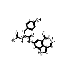 O=C(O)N[C@H](Cc1ccc(O)cc1)C(=O)Nc1cc2c3c(c[nH]c3c1)C=NNC2=O